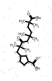 CC(C)(CCC(C)(C)C(=O)C(C)(C)C)CC(=O)C(C)(C)CC1CCC(C(=O)C(C)(C)C)C1